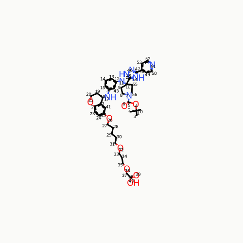 CC(C)(C)OC(=O)N1CCC(Nc2cccc(NC3CCOc4ccc(OCCCCCOCCCOCC(=O)O)cc43)c2)(c2nnc(-c3ccncc3)[nH]2)CC1